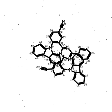 N#Cc1ccc(-n2c3ccccc3c3ccccc32)c(-c2nc(-c3ccccc3)nc(-c3cc(C#N)ccc3-n3c4ccccc4c4ccccc43)n2)c1